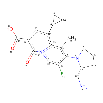 Cc1c(N2CCC[C@@H]2CN)c(F)cn2c(=O)c(C(=O)O)cc(C3CC3)c12